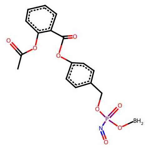 BOP(=O)(N=O)OCc1ccc(OC(=O)c2ccccc2OC(C)=O)cc1